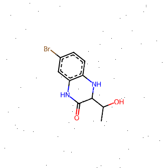 CC(O)C1Nc2ccc(Br)cc2NC1=O